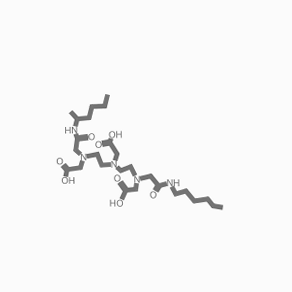 CCCCCCNC(=O)CN(CCN(CCN(CC(=O)O)CC(=O)NC(C)CCCC)CC(=O)O)CC(=O)O